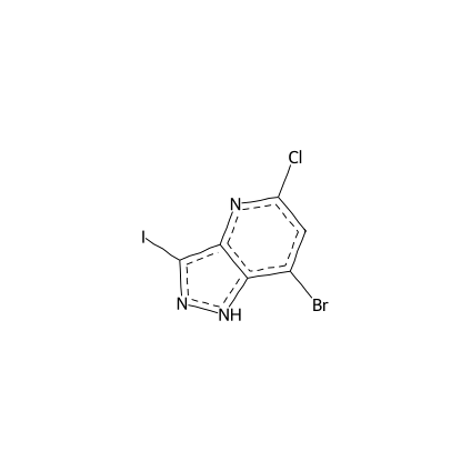 Clc1cc(Br)c2[nH]nc(I)c2n1